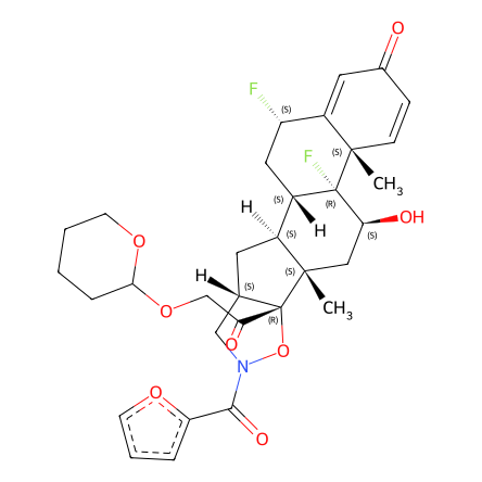 C[C@]12C=CC(=O)C=C1[C@@H](F)C[C@H]1[C@@H]3C[C@H]4CN(C(=O)c5ccco5)O[C@@]4(C(=O)COC4CCCCO4)[C@@]3(C)C[C@H](O)[C@@]12F